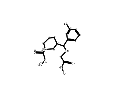 CCNC(=O)COC(c1cccc(Cl)c1)C1CCCN(C(=O)OC(C)(C)C)C1